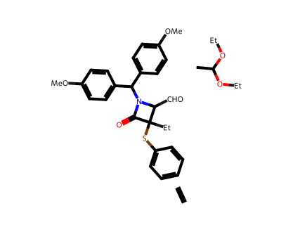 C=C.CCC1(Sc2ccccc2)C(=O)N(C(c2ccc(OC)cc2)c2ccc(OC)cc2)C1C=O.CCOC(C)OCC